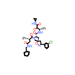 CCC[C@H](NC(=O)[C@@H]1C[C@]2(CC(c3cccc(Cl)c3)=NO2)CN1C(=O)[C@@H](CC(=O)NCc1ccccc1)C(C)C)C(=O)C(=O)NC1CC1